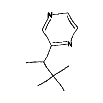 CC(c1cnccn1)C(C)(C)C